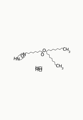 CCCCCCCCC(CCCCCCCC)OC(=O)CCCCCCCN1CC2CNCC(C1)O2.Cl.Cl